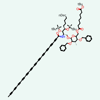 CC#CC#CC#CC#CC#CC#CC#CC#CC#CC#CC#CC#CC(=O)N[C@@H](CO[C@H]1OC(COC(=O)CCCCCCC(=O)OC(C)(C)C)[C@H](OCc2ccccc2)[C@H](C)C1OCc1ccccc1)[C@H](O[Si](C)(C)C(C)(C)C)[C@@H](CCCCCCCCCCCCCC)O[Si](C)(C)C(C)(C)C